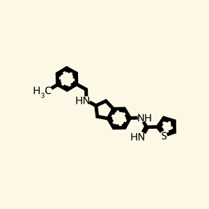 Cc1cccc(CNC2Cc3ccc(NC(=N)c4cccs4)cc3C2)c1